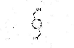 N=Cc1ccc(C=N)cc1